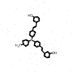 Cc1ccc(N(c2ccc(C=Cc3cccc(O)c3)cc2)c2ccc(C=Cc3cccc(O)c3)cc2)cc1